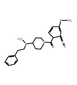 COC1=CC(=C=O)C(C(=O)N2CCC(N(C)CCc3ccccc3)CC2)C=C1